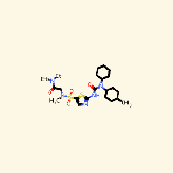 CCN(CC)C(=O)CN(C)S(=O)(=O)c1cnc(NC(=O)N(C2CCCCC2)C2CCC(C)CC2)s1